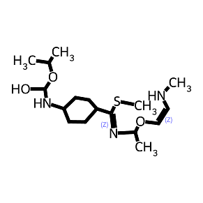 CN/C=C\OC(C)/N=C(\SC)C1CCC(NC(O)OC(C)C)CC1